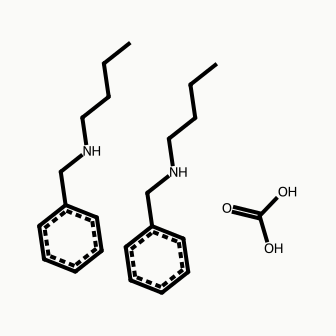 CCCCNCc1ccccc1.CCCCNCc1ccccc1.O=C(O)O